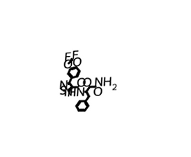 NC(=O)C(=O)C(Cc1ccccc1)NC(=O)c1nsnc1-c1ccc2c(c1)OC(F)(F)O2